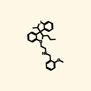 [CH2]C(C)C(c1ccccc1I)(c1ccccc1OCCNCc1ccccc1OC)C(C)CCC